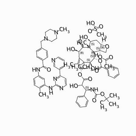 CC(=O)O[C@@]12CO[C@@H]1C[C@H](O)[C@@]1(C)C(=O)[C@H](O)C3=C(C)[C@@H](OC(=O)C(O)[C@@H](NC(=O)OC(C)(C)C)c4ccccc4)C[C@@](O)([C@@H](OC(=O)c4ccccc4)[C@H]21)C3(C)C.CS(=O)(=O)O.Cc1ccc(NC(=O)c2ccc(CN3CCN(C)CC3)cc2)cc1Nc1nccc(-c2cccnc2)n1